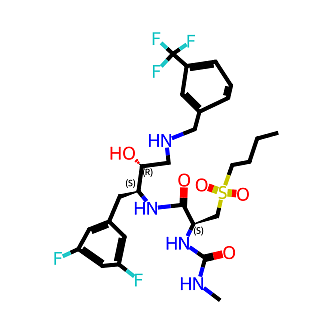 CCCCS(=O)(=O)C[C@@H](NC(=O)NC)C(=O)N[C@@H](Cc1cc(F)cc(F)c1)[C@H](O)CNCc1cccc(C(F)(F)F)c1